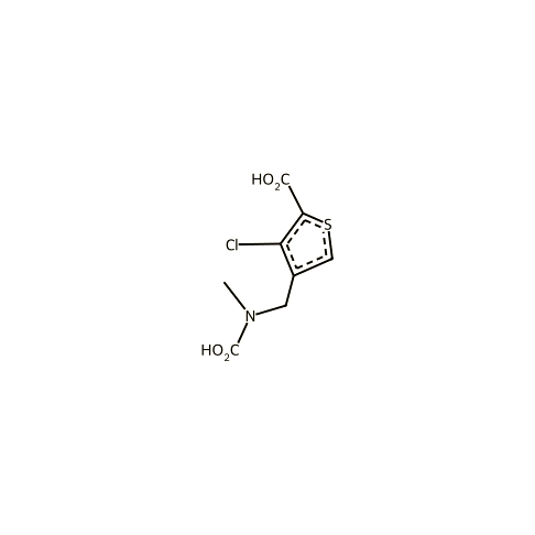 CN(Cc1csc(C(=O)O)c1Cl)C(=O)O